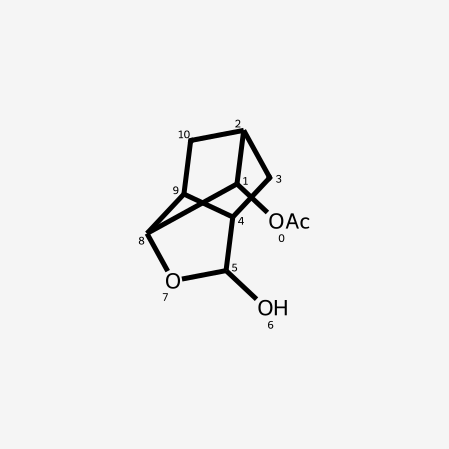 CC(=O)OC1C2CC3C(O)OC1C3C2